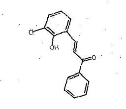 O=C(C=Cc1cccc(Cl)c1O)c1ccccc1